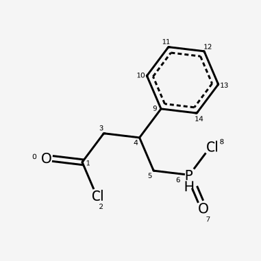 O=C(Cl)CC(C[PH](=O)Cl)c1ccccc1